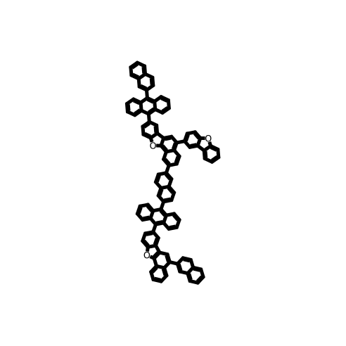 c1ccc2cc(-c3c4ccccc4c(-c4ccc5oc6c7cc(-c8ccc9cc(-c%10c%11ccccc%11c(-c%11ccc%12oc%13c%14ccccc%14c(-c%14ccc%15ccccc%15c%14)cc%13c%12c%11)c%11ccccc%10%11)ccc9c8)ccc7c(-c7ccc8oc9ccccc9c8c7)cc6c5c4)c4ccccc34)ccc2c1